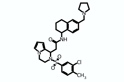 Cc1ccc(S(=O)(=O)N2CCn3cccc3C2CC(=O)NC2CCCc3cc(CN4CCCC4)ccc32)cc1Cl